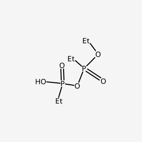 CCOP(=O)(CC)OP(=O)(O)CC